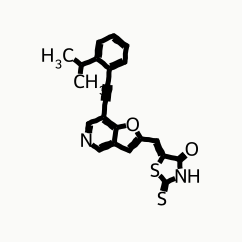 CC(C)c1ccccc1C#Cc1cncc2cc(/C=C3\SC(=S)NC3=O)oc12